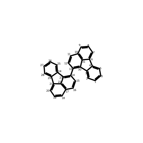 c1ccc2c(c1)-c1cccc3ccc(-c4ccc5cccc6c5c4-c4ccccc4-6)c-2c13